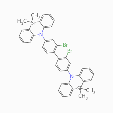 C[Si]1(C)c2ccccc2N(c2ccc(-c3ccc(N4c5ccccc5[Si](C)(C)c5ccccc54)cc3Br)c(Br)c2)c2ccccc21